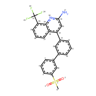 CS(=O)(=O)c1cccc(-c2cccc(-c3cc(N)nc4c(C(F)(F)F)cccc34)c2)c1